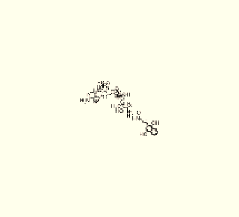 CC(C)(COP(=O)(O)OP(=O)(O)OC[C@H]1O[C@@H](n2cnc3c(N)ncnc32)[C@H](O)[C@@H]1OP(=O)(O)O)C(O)C(=O)NCCC(=O)NCCSc1cc(O)c2ccccc2c1O